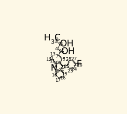 CC[C@H](O)C[C@@H](O)/C=C/c1c(C2CC2)nc2ccccc2c1-c1ccc(F)cc1